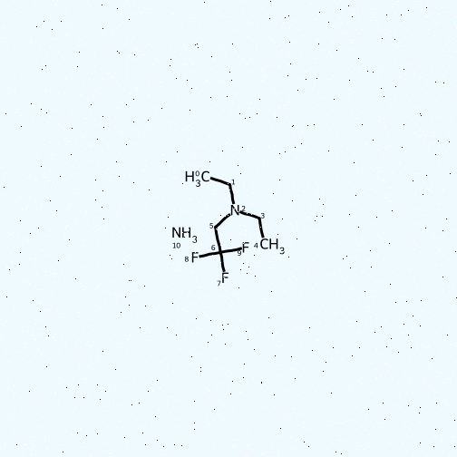 CCN(CC)CC(F)(F)F.N